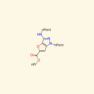 CCCCCNc1nn(CCCCC)c2cc(C(=O)OCCC)oc12